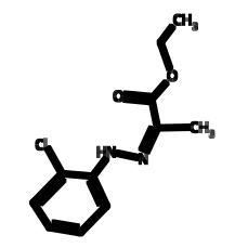 CCOC(=O)/C(C)=N\Nc1ccccc1Cl